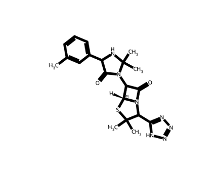 Cc1cccc(C2NC(C)(C)N(C3C(=O)N4C(c5nnn[nH]5)C(C)(C)S[C@H]34)C2=O)c1